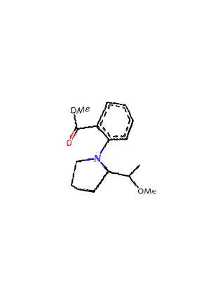 COC(=O)c1ccccc1N1CCCC1C(C)OC